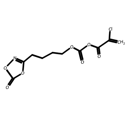 C=C(Cl)C(=O)OC(=O)OCCCCc1noc(=O)o1